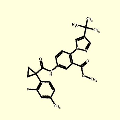 COC(=O)c1cc(NC(=O)C2(c3ccc(C)cc3F)CC2)ccc1-n1cc(C(C)(C)C)cn1